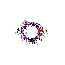 C/C=C/C[C@@H](C)C[C@H]1C(=O)N[C@@H](CC)C(=O)N(C)[C@H](C)C(=O)N(C)[C@@H](C(C)(C)CNC)C(=O)N[C@@H](C(C)C)C(=O)N(C)[C@@H](CC(C)C)C(=O)N[C@@H](C)C(=O)N[C@H](C)C(=O)N(C)[C@@H](CC(C)C)C(=O)N(C)[C@@H](CC(C)C)C(=O)N(C)[C@@H](C(C)C)C(=O)N1O